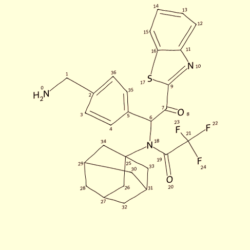 NCc1ccc(C(C(=O)c2nc3ccccc3s2)N(C(=O)C(F)(F)F)C23CC4CC(CC(C4)C2)C3)cc1